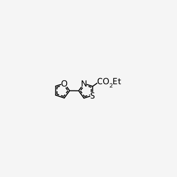 CCOC(=O)c1nc(-c2ccco2)cs1